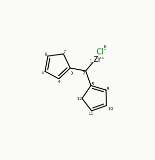 [Cl-].[Zr+][CH](C1=CC=CC1)C1=CC=CC1